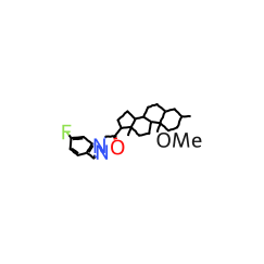 COCC12CCC(C)CC1CCC1C3CCC(C(=O)Cn4ncc5ccc(F)cc54)C3(C)CCC12